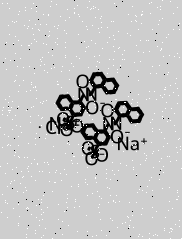 O=S(=O)([O-])c1cc([O-])c(N=Nc2c([O-])ccc3ccccc23)c2ccccc12.O=S(=O)([O-])c1cc([O-])c(N=Nc2c([O-])ccc3ccccc23)c2ccccc12.[Cr+3].[Na+].[Na+]